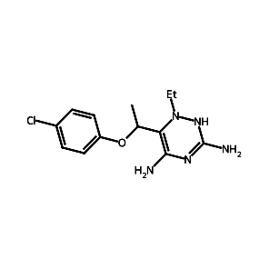 CCN1NC(N)=NC(N)=C1C(C)Oc1ccc(Cl)cc1